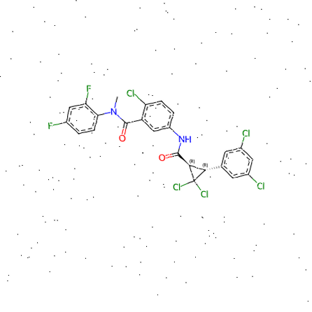 CN(C(=O)c1cc(NC(=O)[C@H]2[C@H](c3cc(Cl)cc(Cl)c3)C2(Cl)Cl)ccc1Cl)c1ccc(F)cc1F